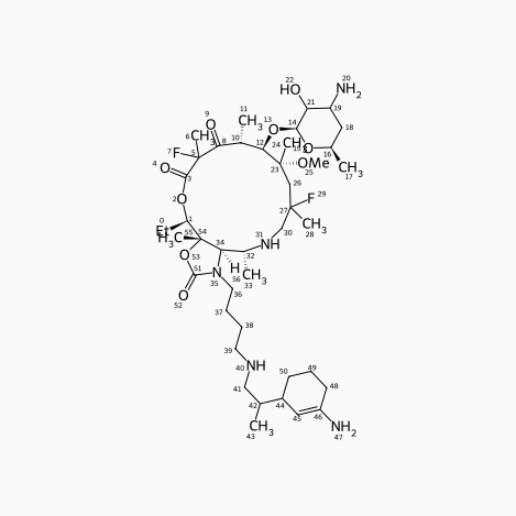 CC[C@H]1OC(=O)C(C)(F)C(=O)[C@H](C)[C@@H](O[C@@H]2O[C@H](C)CC(N)C2O)[C@](C)(OC)CC(C)(F)CN[C@H](C)[C@H]2N(CCCCNCC(C)C3C=C(N)CCC3)C(=O)O[C@]12C